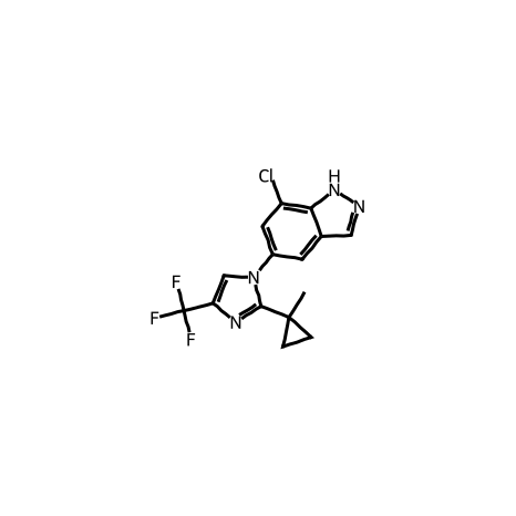 CC1(c2nc(C(F)(F)F)cn2-c2cc(Cl)c3[nH]ncc3c2)CC1